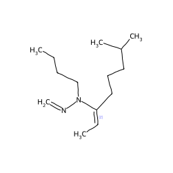 C=NN(CCCC)/C(=C\C)CCCC(C)C